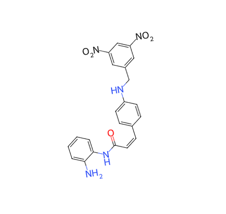 Nc1ccccc1NC(=O)/C=C\c1ccc(NCc2cc([N+](=O)[O-])cc([N+](=O)[O-])c2)cc1